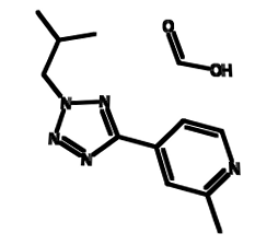 Cc1cc(-c2nnn(CC(C)C)n2)ccn1.O=CO